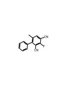 Cc1cc(C#N)c(F)c(C#N)c1-c1ccccc1